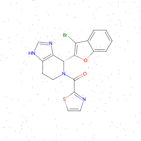 O=C(c1nccs1)N1CCc2[nH]cnc2[C@@H]1c1oc2ccccc2c1Br